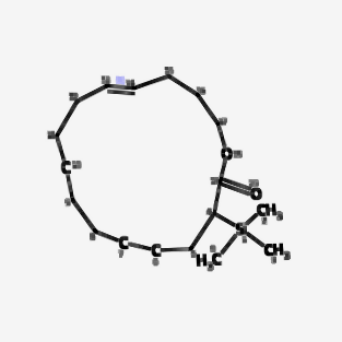 C[Si](C)(C)C1CCCCCCCC/C=C/CCCOC1=O